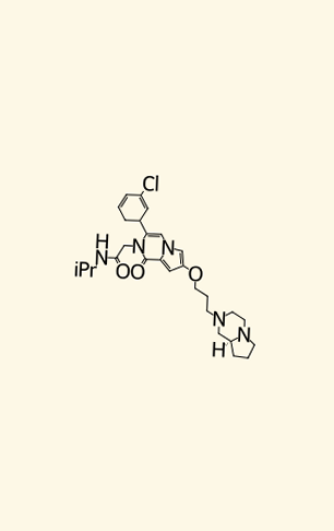 CC(C)NC(=O)Cn1c(C2C=C(Cl)C=CC2)cn2cc(OCCCN3CCN4CCC[C@H]4C3)cc2c1=O